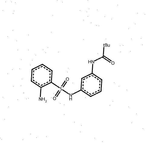 CC(C)(C)C(=O)Nc1cccc(NS(=O)(=O)c2ccccc2N)c1